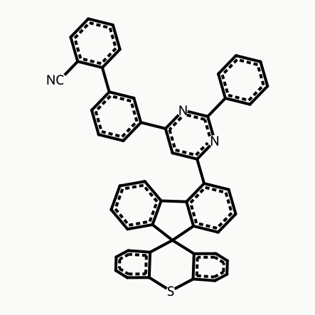 N#Cc1ccccc1-c1cccc(-c2cc(-c3cccc4c3-c3ccccc3C43c4ccccc4Sc4ccccc43)nc(-c3ccccc3)n2)c1